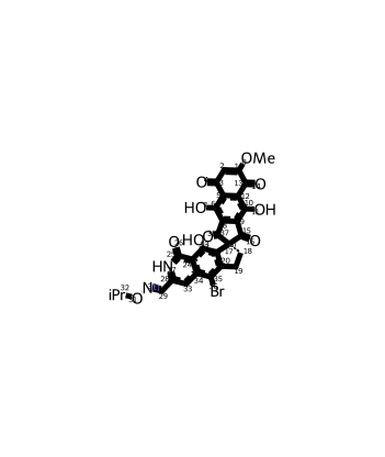 COC1=CC(=O)c2c(O)c3c(c(O)c2C1=O)C(=O)[C@]1(CCc2c1c(O)c1c(=O)[nH]c(/C=N/OC(C)C)cc1c2Br)C3=O